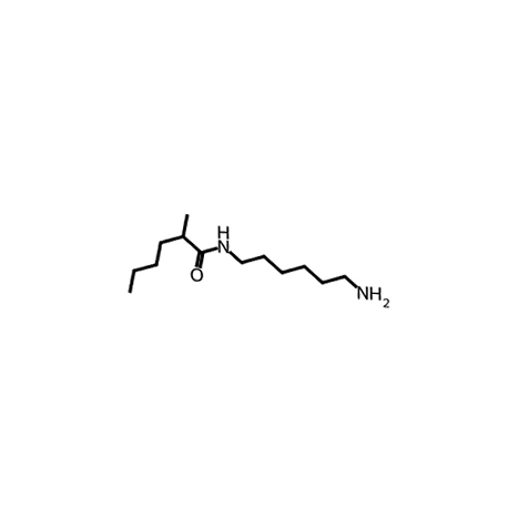 CCCCC(C)C(=O)NCCCCCCN